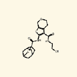 N#CCCNC(=O)c1c(NC(=O)C23CC4CC(CC2C4)C3)sc2c1CCOC2